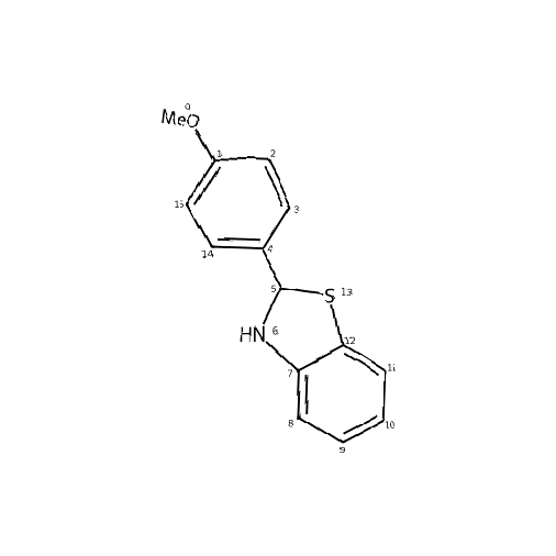 COc1ccc(C2Nc3ccccc3S2)cc1